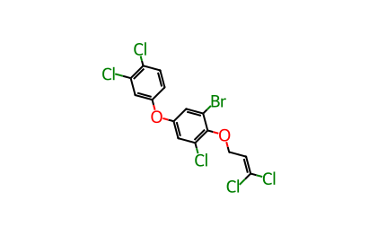 ClC(Cl)=CCOc1c(Cl)cc(Oc2ccc(Cl)c(Cl)c2)cc1Br